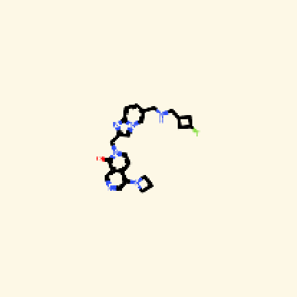 O=c1c2cncc(N3CCC3)c2ccn1Cc1cn2cc(CNCC3CC(F)C3)ccc2n1